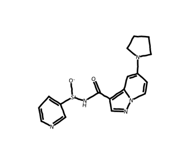 O=C(N[S+]([O-])c1cccnc1)c1cnn2ccc(N3CCCC3)cc12